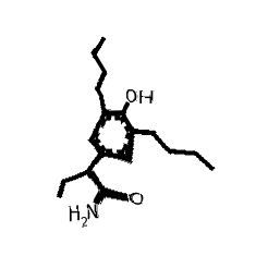 CCCCc1cc(C(CC)C(N)=O)cc(CCCC)c1O